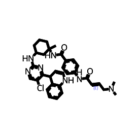 CN(C)C/C=C/C(=O)Nc1ccc(C(=O)NC2(C)CCCC(Nc3ncc(Cl)c(C4C=CNc5ccccc54)n3)C2)cc1